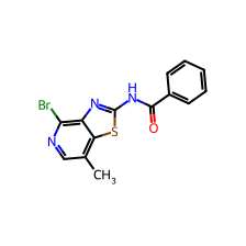 Cc1cnc(Br)c2nc(NC(=O)c3ccccc3)sc12